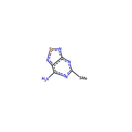 CSc1nc(N)c2nsnc2n1